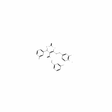 Nc1cccc(COC(=O)C2=C(CCc3ccc(O)c(O)c3)NC(=O)NC2c2cccc(F)c2)c1